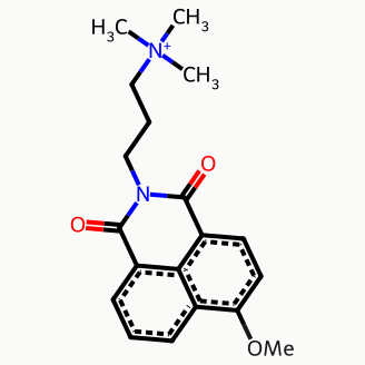 COc1ccc2c3c(cccc13)C(=O)N(CCC[N+](C)(C)C)C2=O